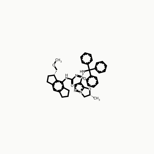 COC[C@H]1CCc2cc3c(c(NC(=O)N=[S@](=O)(NC(c4ccccc4)(c4ccccc4)c4ccccc4)c4cnn5c4O[C@H](C)C5)c21)CCC3